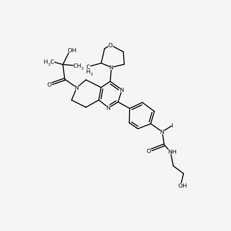 CC1COCCN1c1nc(-c2ccc(N(I)C(=O)NCCO)cc2)nc2c1CN(C(=O)C(C)(C)O)CC2